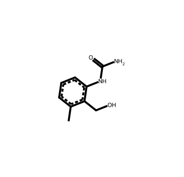 Cc1cccc(NC(N)=O)c1CO